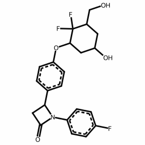 O=C1CC(c2ccc(OC3CC(O)CC(CO)C3(F)F)cc2)N1c1ccc(F)cc1